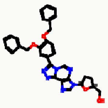 OC[C@@H]1CC[C@H](n2cnc3c2ncn2c(-c4ccc(OCc5ccccc5)c(OCc5ccccc5)c4)nnc32)O1